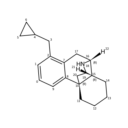 c1cc(CC2CC2)c2c(c1)[C@@]13CCCC[C@H]1[C@@H](C2)NCC3